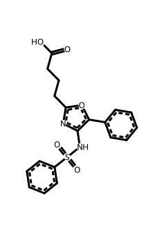 O=C(O)CCCc1nc(NS(=O)(=O)c2ccccc2)c(-c2ccccc2)o1